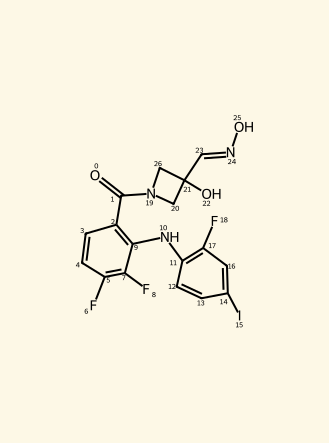 O=C(c1ccc(F)c(F)c1Nc1ccc(I)cc1F)N1CC(O)(C=NO)C1